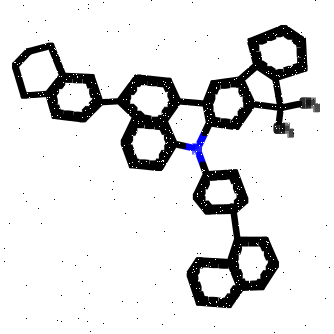 CC1(C)c2ccccc2-c2cc(-c3ccc(-c4ccc5c(c4)CCCC5)cc3)c(N(c3ccccc3)c3ccc(-c4cccc5ccccc45)cc3)cc21